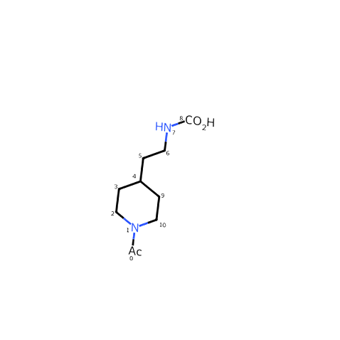 CC(=O)N1CCC(CCNC(=O)O)CC1